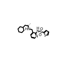 C[C@@H](CC1CCCCC1)NCc1cccnc1NS(=O)(=O)c1cccs1